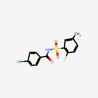 Cc1ccc(F)c(S(=O)(=O)NC(=O)c2ccc(Cl)cc2)c1